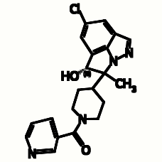 CC1(C2CCN(C(=O)c3cccnc3)CC2)[C@H](O)c2cc(Cl)cc3cnn1c23